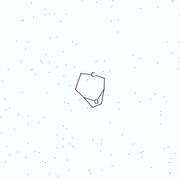 C1CCC2CCC(C1)O2